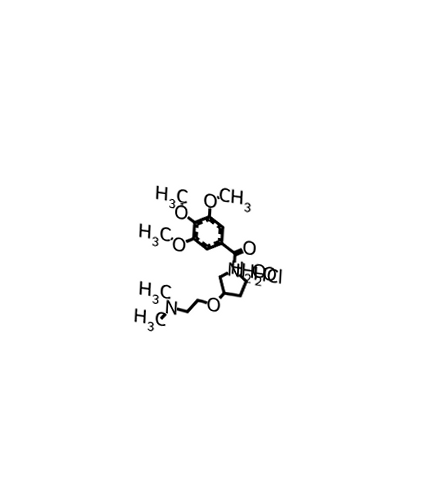 COc1cc(C(=O)N2CCC(OCCN(C)C)C2)cc(OC)c1OC.Cl.O.O